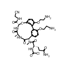 C[C@@H]1NC(=O)[C@@H](N(C)C(=O)[C@H](CCC(N)=O)NC(=O)Cl)c2ccc(OCCN)c(c2)-c2cc(ccc2OCCN)C[C@@H](C(=O)NCC#N)NC1=O